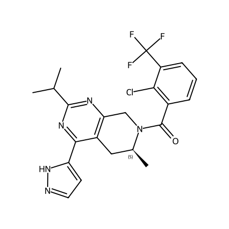 CC(C)c1nc2c(c(-c3ccn[nH]3)n1)C[C@H](C)N(C(=O)c1cccc(C(F)(F)F)c1Cl)C2